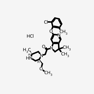 COC[C@H]1CN[C@H](C)CN1CC(=O)N1CC(C)(C)c2cnc(Oc3c(C)cccc3Cl)cc21.Cl